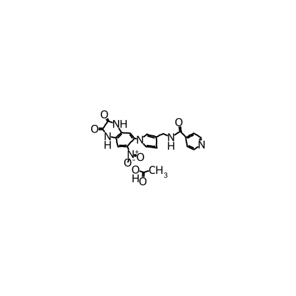 CC(=O)O.O=C(NCc1ccn(-c2cc3[nH]c(=O)c(=O)[nH]c3cc2[N+](=O)[O-])c1)c1ccncc1